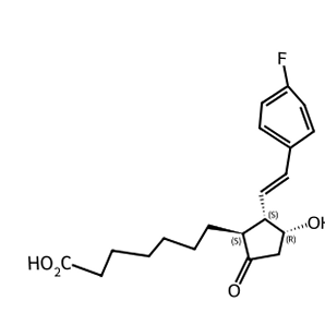 O=C(O)CCCCCC[C@@H]1C(=O)C[C@@H](O)[C@H]1C=Cc1ccc(F)cc1